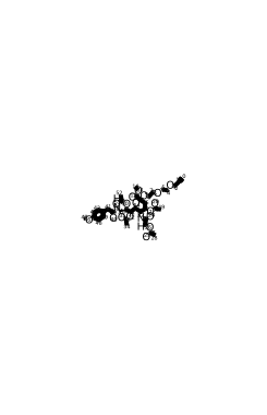 C#CCOCCOCCO[C@]1(C(=O)OC)C[C@H](OC(C)=O)[C@@H](NC(=O)COC(C)=O)[C@H]([C@H](OC(C)=O)[C@@H](CNC(=O)Cc2ccc(OC)cc2)OC(C)=O)O1